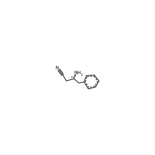 N#CC[C@@H](N)Cc1ccccc1